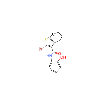 O=C(Nc1ccccc1O)c1c(Br)sc2c1CCCC2